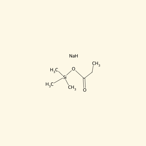 CCC(=O)O[Si](C)(C)C.[NaH]